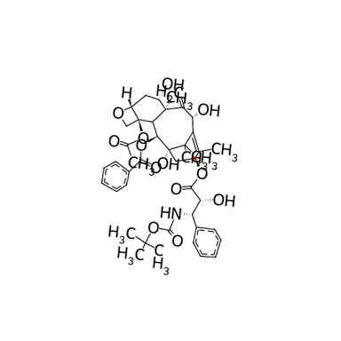 C=C1[C@H](O)C2=C(C)[C@@H](OC(=O)[C@H](O)[C@@H](NC(=O)OC(C)(C)C)c3ccccc3)C[C@@](O)([C@@H](OC(=O)c3ccccc3)C3[C@@]1(C)[C@@H](O)C[C@H]1OC[C@@]31OC(C)=O)C2(C)C